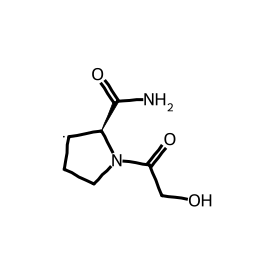 NC(=O)[C@@H]1[CH]CCN1C(=O)CO